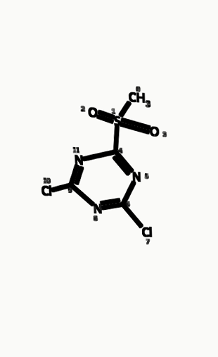 CS(=O)(=O)c1nc(Cl)nc(Cl)n1